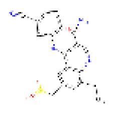 CCc1cc(C[SH](=O)=O)cc2c(Nc3cccc(C#N)c3)c(C(N)=O)cnc12